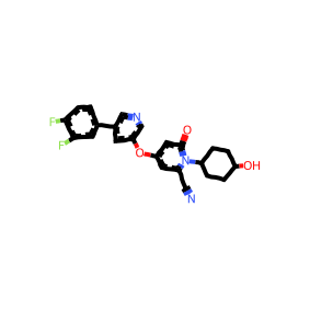 N#Cc1cc(Oc2cncc(-c3ccc(F)c(F)c3)c2)cc(=O)n1C1CCC(O)CC1